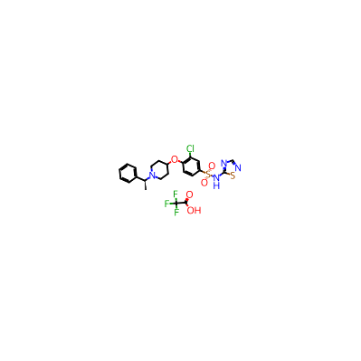 C[C@@H](c1ccccc1)N1CCC(Oc2ccc(S(=O)(=O)Nc3ncns3)cc2Cl)CC1.O=C(O)C(F)(F)F